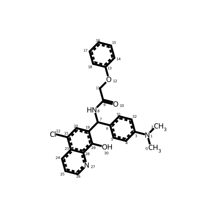 CN(C)c1ccc(C(NC(=O)COc2ccccc2)c2cc(Cl)c3cccnc3c2O)cc1